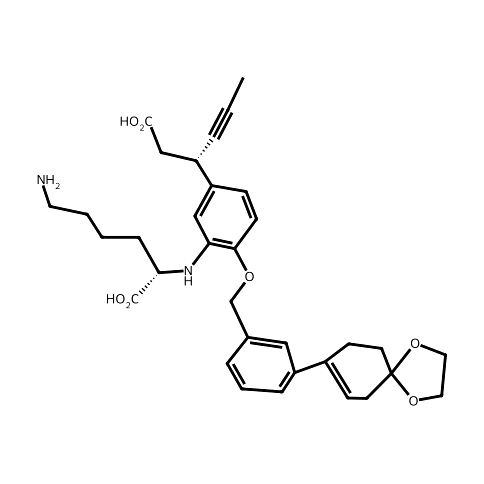 CC#C[C@@H](CC(=O)O)c1ccc(OCc2cccc(C3=CCC4(CC3)OCCO4)c2)c(N[C@@H](CCCCN)C(=O)O)c1